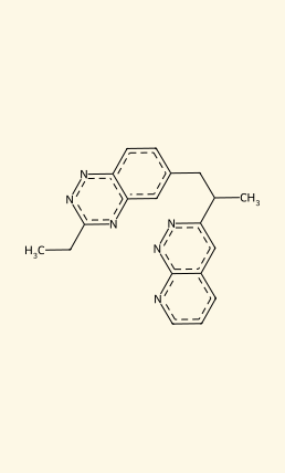 CCc1nnc2ccc(CC(C)c3cc4cccnc4nn3)cc2n1